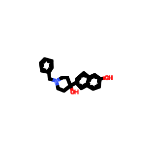 Oc1ccc2cc(C3(O)CCN(Cc4ccccc4)CC3)ccc2c1